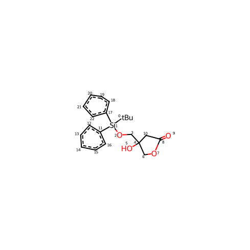 CC(C)(C)[Si](OCC1(O)COC(=O)C1)(c1ccccc1)c1ccccc1